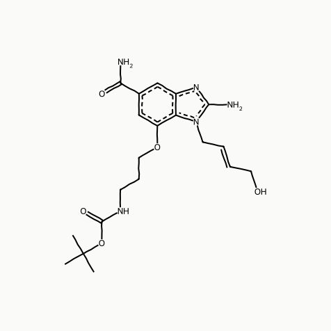 CC(C)(C)OC(=O)NCCCOc1cc(C(N)=O)cc2nc(N)n(C/C=C/CO)c12